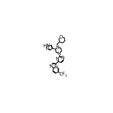 FC(F)(F)c1ccc2ncc(-c3ccnc(N4CCN(CC5CCCOC5)C(c5cn[nH]c5)C4)n3)n2c1